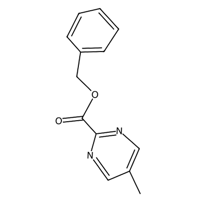 Cc1cnc(C(=O)OCc2ccccc2)nc1